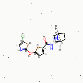 O=C(N[C@@H]1C[C@H]2CC[C@@H]1N2)c1ccc(Oc2ncc(Cl)s2)s1